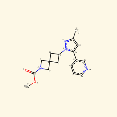 CC(C)(C)OC(=O)N1CC2(CC(n3nc(C(F)(F)F)cc3-c3cccnc3)C2)C1